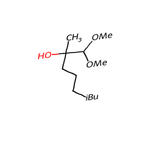 CCC(C)CCCC(C)(O)C(OC)OC